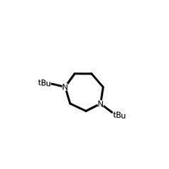 CC(C)(C)N1CCCN(C(C)(C)C)CC1